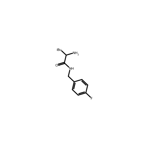 CCC(C)C(N)C(=O)NCc1ccc(F)cc1